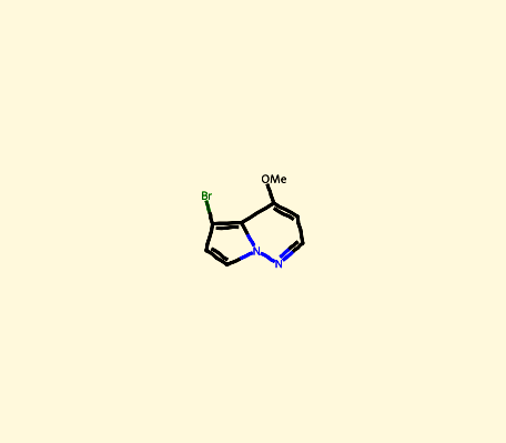 COc1ccnn2ccc(Br)c12